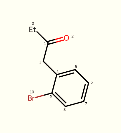 CCC(=O)Cc1ccccc1Br